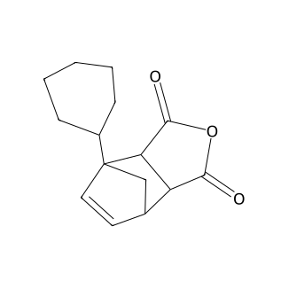 O=C1OC(=O)C2C1C1C=CC2(C2CCCCC2)C1